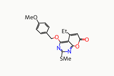 CCc1cc(=O)oc2nc(SC)nc(OCc3ccc(OC)cc3)c12